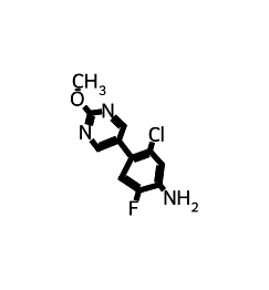 COc1ncc(-c2cc(F)c(N)cc2Cl)cn1